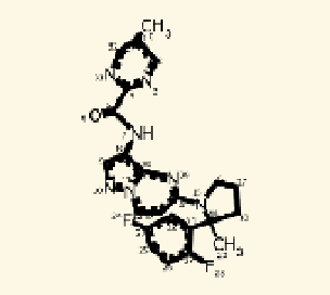 Cc1cnc(C(=O)Nc2cnn3ccc(N4CCC[C@]4(C)c4cc(F)ccc4F)nc23)nc1